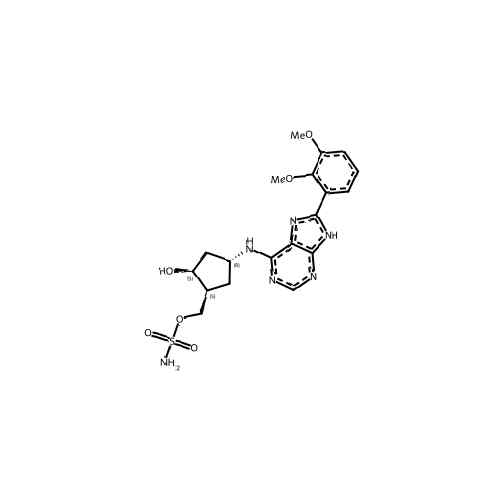 COc1cccc(-c2nc3c(N[C@@H]4C[C@@H](COS(N)(=O)=O)[C@@H](O)C4)ncnc3[nH]2)c1OC